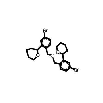 Brc1ccc(COCc2ccc(Br)cc2C2CCCCO2)c(C2CCCCO2)c1